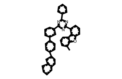 Cc1cccc2c1oc1cccc(-c3nc(-c4ccccc4)nc(-c4cccc(-c5ccc(-c6ccc7ccccc7c6)cc5)c4)n3)c12